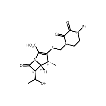 CCN1CCN(CSC2=C(C(=O)O)N3C(=O)[C@H](C(C)O)[C@H]3[C@H]2C)C(=O)C1=O